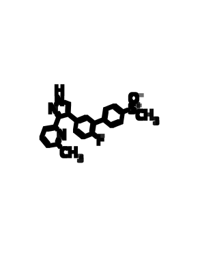 Cc1cccc(-c2n[nH]cc2-c2ccc(F)c(-c3ccc([S+](C)[O-])cc3)c2)n1